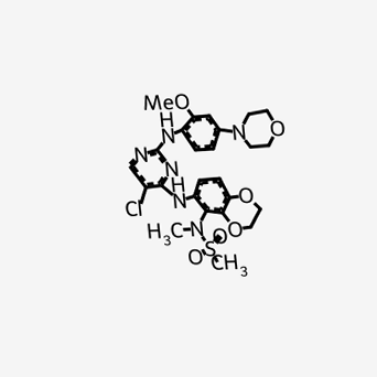 COc1cc(N2CCOCC2)ccc1Nc1ncc(Cl)c(Nc2ccc3c(c2N(C)S(C)(=O)=O)OCCO3)n1